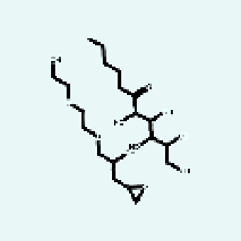 CCCCCC(=O)C(O)C(O)C(O)C(O)CO.OCCOCCOCC(O)CC1CO1